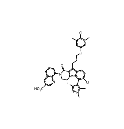 Cc1cc(OCCCc2c3n(c4c(-c5c(C)nn(C)c5C)c(Cl)ccc24)[C@H](C)CN(c2cccc4cc(C(=O)O)cnc24)C3=O)cc(C)c1Cl